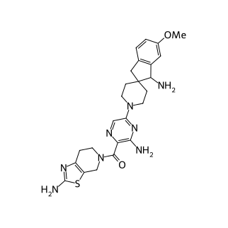 COc1ccc2c(c1)C(N)C1(CCN(c3cnc(C(=O)N4CCc5nc(N)sc5C4)c(N)n3)CC1)C2